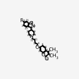 Cc1c(C)c2ccc(OCCCCN3CCC(c4noc5cc(F)ccc45)CC3)cc2oc1=O